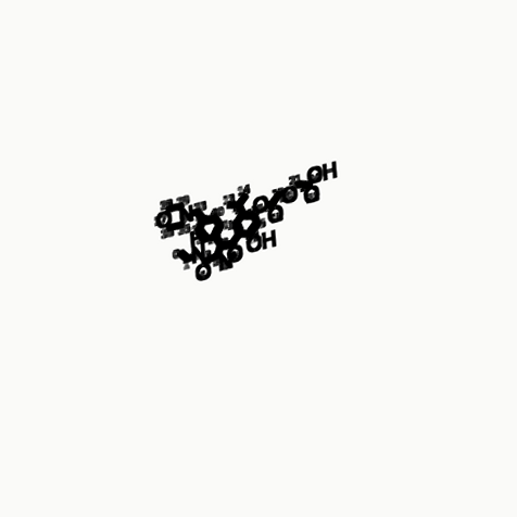 CCNC(=O)c1noc(-c2cc(C(C)C)c(OC(=O)COCC(=O)O)cc2O)c1-c1ccc(CN2CCOCC2)cc1